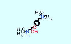 [CH2]CN(C)CCc1ccc(OCC(O)CNC(C)C)cc1